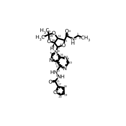 CCNC(=O)C1OC(n2cnc3c(NNC(=O)c4ccco4)ncnc32)[C@@H]2OC(C)(C)OC12